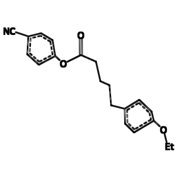 CCOc1ccc(CCCCC(=O)Oc2ccc(C#N)cc2)cc1